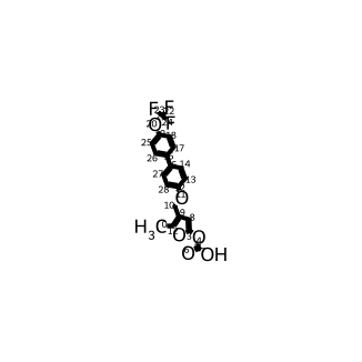 Cc1oc(OC(=O)O)cc1COc1ccc(-c2ccc(OC(F)(F)F)cc2)cc1